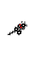 CCOCCOc1cccc(S(OS(=O)(=O)c2c(F)c(F)c(F)c(F)c2F)(c2ccccc2)c2ccccc2)c1